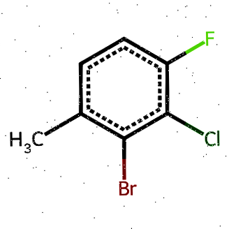 Cc1ccc(F)c(Cl)c1Br